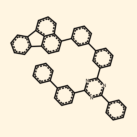 c1ccc(-c2cccc(-c3nc(-c4ccccc4)nc(-c4cccc(-c5cccc(-c6ccc7c8c(cccc68)-c6ccccc6-7)c5)c4)n3)c2)cc1